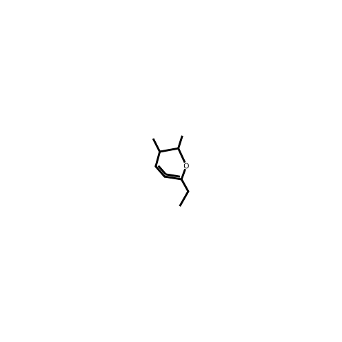 CCC1=C=CC(C)C(C)O1